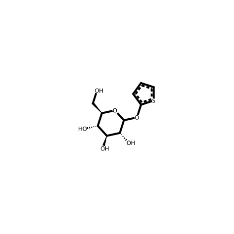 OC[C@H]1OC(Oc2cccs2)[C@H](O)[C@@H](O)[C@@H]1O